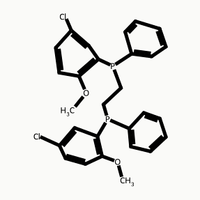 COc1ccc(Cl)cc1P(CCP(c1ccccc1)c1cc(Cl)ccc1OC)c1ccccc1